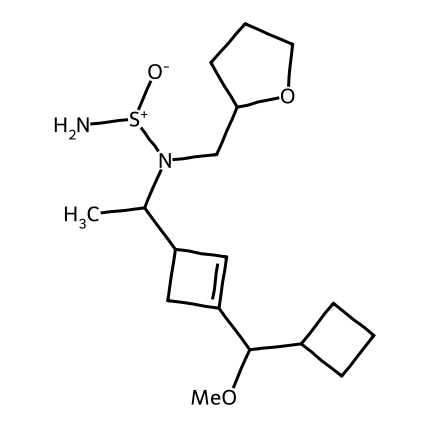 COC(C1=CC(C(C)N(CC2CCCO2)[S+](N)[O-])C1)C1CCC1